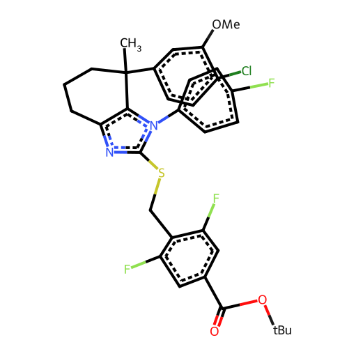 COc1cc(C2(C)CCCc3nc(SCc4c(F)cc(C(=O)OC(C)(C)C)cc4F)n(-c4ccc(F)cc4)c32)ccc1Cl